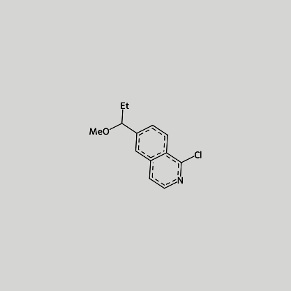 CCC(OC)c1ccc2c(Cl)nccc2c1